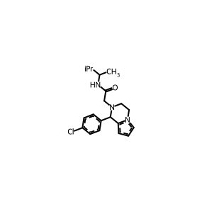 CC(C)C(C)NC(=O)CN1CCn2cccc2C1c1ccc(Cl)cc1